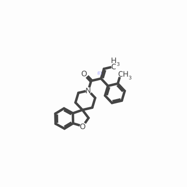 C/C=C(/C(=O)N1CCC2(CC1)COc1ccccc12)c1ccccc1C